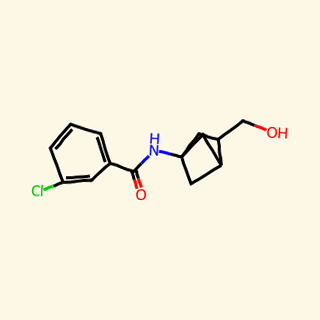 O=C(NC12CC(CO)C(C1)C2)c1cccc(Cl)c1